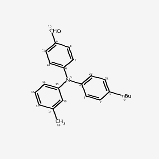 CCCCc1ccc(N(c2ccc(C=O)cc2)c2cccc(C)c2)cc1